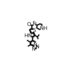 Cc1c(-c2[nH]c3cc(C(=O)N(C)C4CCNCC4)sc3c2C(C)C)cn2ncnc2c1C